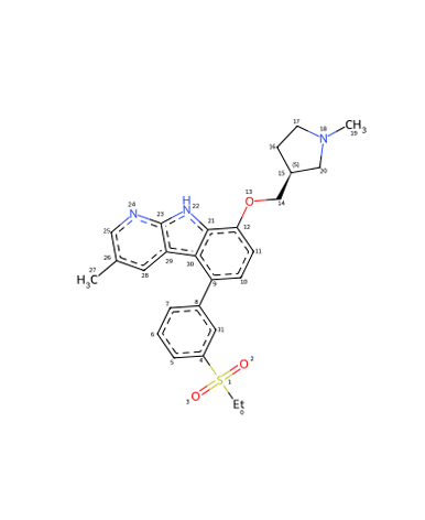 CCS(=O)(=O)c1cccc(-c2ccc(OC[C@H]3CCN(C)C3)c3[nH]c4ncc(C)cc4c23)c1